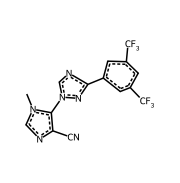 Cn1cnc(C#N)c1-n1cnc(-c2cc(C(F)(F)F)cc(C(F)(F)F)c2)n1